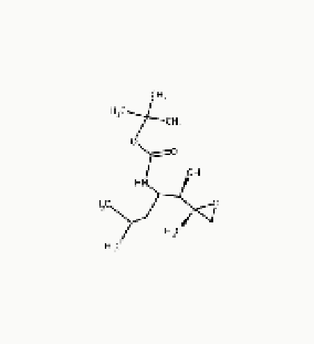 CC(C)CC(NC(=O)OC(C)(C)C)[C@@H](O)[C@@]1(C)CO1